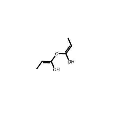 CC=C(O)OC(O)=CC